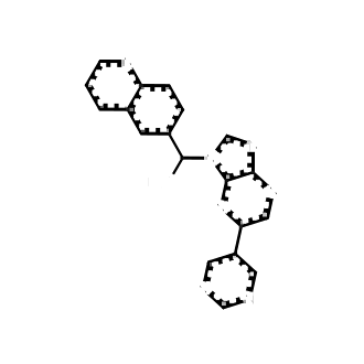 CC(c1ccc2ncccc2c1)n1cnc2ncc(-c3cncnc3)nc21